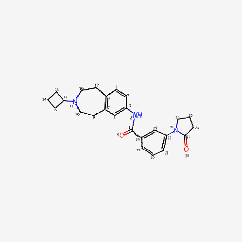 O=C(Nc1ccc2c(c1)CCN(C1CCC1)CC2)c1cccc(N2CCCC2=O)c1